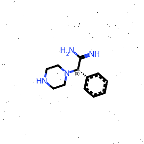 N=C(N)[C@H](c1ccccc1)N1CCNCC1